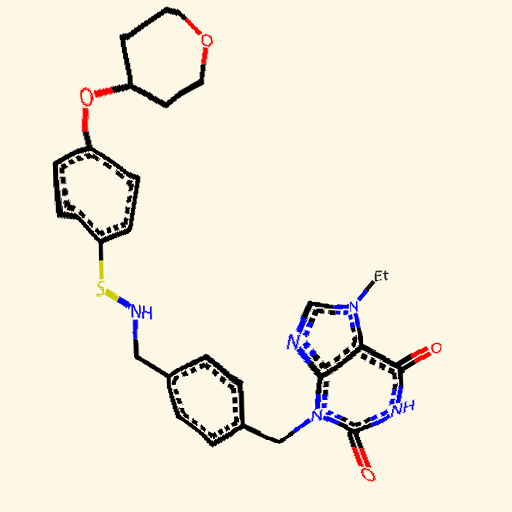 CCn1cnc2c1c(=O)[nH]c(=O)n2Cc1ccc(CNSc2ccc(OC3CCOCC3)cc2)cc1